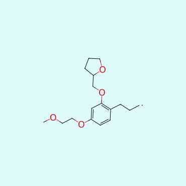 [CH2]CCc1ccc(OCCOC)cc1OCC1CCCO1